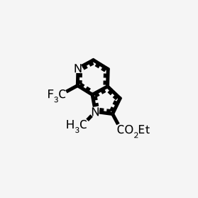 CCOC(=O)c1cc2ccnc(C(F)(F)F)c2n1C